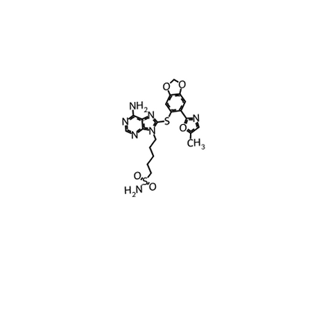 Cc1cnc(-c2cc3c(cc2Sc2nc4c(N)ncnc4n2CCCCCS(N)(=O)=O)OCO3)o1